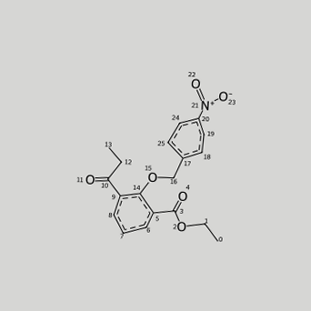 CCOC(=O)c1cccc(C(=O)CC)c1OCc1ccc([N+](=O)[O-])cc1